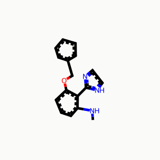 CNc1cccc(OCc2ccccc2)c1-c1ncc[nH]1